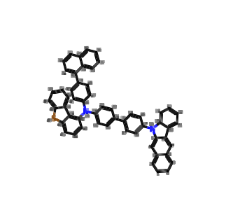 c1ccc2cc3c(cc2c1)c1ccccc1n3-c1ccc(-c2ccc(N(c3ccc(-c4cccc5ccccc45)cc3)c3cccc4sc5ccccc5c34)cc2)cc1